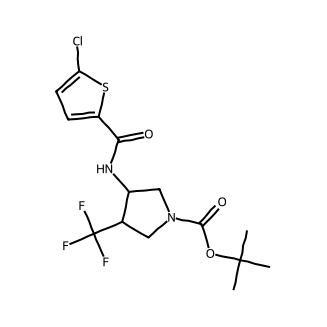 CC(C)(C)OC(=O)N1CC(NC(=O)c2ccc(Cl)s2)C(C(F)(F)F)C1